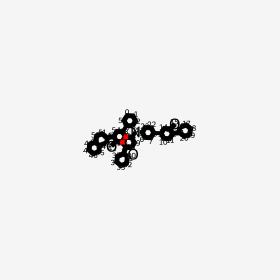 c1ccc(N(c2ccc(-c3ccc4c(c3)oc3ccccc34)cc2)c2ccc3c(c2)oc2ccccc23)c(-c2ccc3oc4c5ccccc5ccc4c3c2)c1